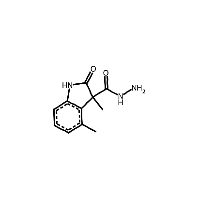 Cc1cccc2c1C(C)(C(=O)NN)C(=O)N2